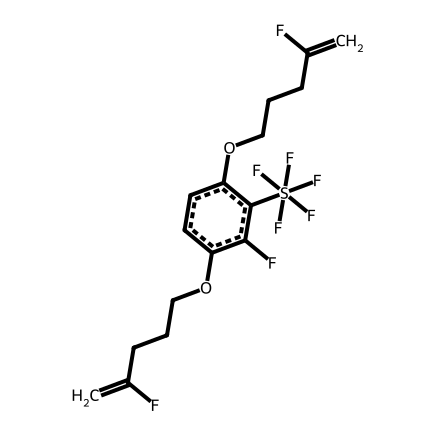 C=C(F)CCCOc1ccc(OCCCC(=C)F)c(S(F)(F)(F)(F)F)c1F